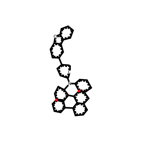 c1ccc(-c2cccc3cccc(-c4ccccc4N(c4ccccc4)c4ccc(-c5ccc6oc7ccccc7c6c5)cc4)c23)cc1